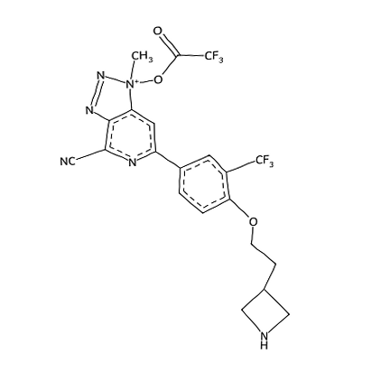 C[N+]1(OC(=O)C(F)(F)F)N=Nc2c1cc(-c1ccc(OCCC3CNC3)c(C(F)(F)F)c1)nc2C#N